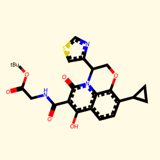 CC(C)(C)OC(=O)CNC(=O)c1c(O)c2ccc(C3CC3)c3c2n(c1=O)C(c1cscn1)CO3